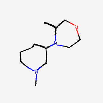 CC1COCCN1C1CCCN(C)C1